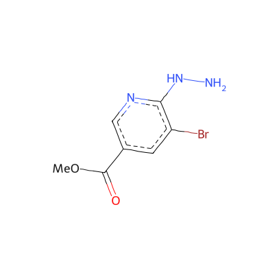 COC(=O)c1cnc(NN)c(Br)c1